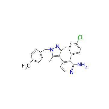 Cc1nn(Cc2ccc(C(F)(F)F)cc2)c(C)c1-c1ccnc(N)c1-c1ccc(Cl)cc1